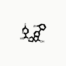 CC(C)c1ccccc1-c1ccc2c(c1)C(O)CC21CCN(C(=N)c2ccc(F)cn2)C1